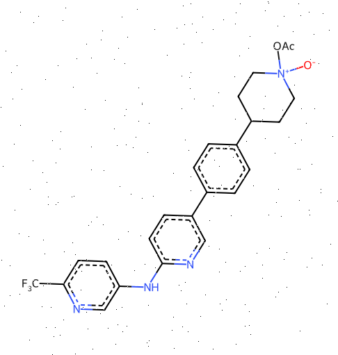 CC(=O)O[N+]1([O-])CCC(c2ccc(-c3ccc(Nc4ccc(C(F)(F)F)nc4)nc3)cc2)CC1